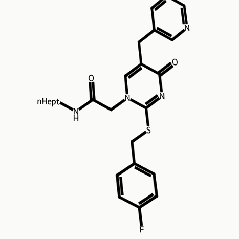 CCCCCCCNC(=O)Cn1cc(Cc2cncnc2)c(=O)nc1SCc1ccc(F)cc1